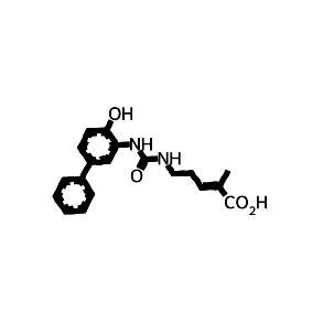 CC(=CCCNC(=O)Nc1cc(-c2ccccc2)ccc1O)C(=O)O